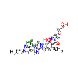 C=CCn1cc(-c2cnc3c(Oc4cc(C)c(C(=O)NCCOCCO)c(O)c4)nccn23)c(C(F)(F)F)n1